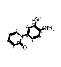 Nc1ccc(-n2ccccc2=O)cc1S